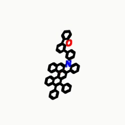 c1ccc(-c2c(-c3ccccc3)c3cc(-c4ccccc4N(c4cccc(-c5cccc6c5oc5ccccc56)c4)c4ccc5ccccc5c4)ccc3c3ccccc23)cc1